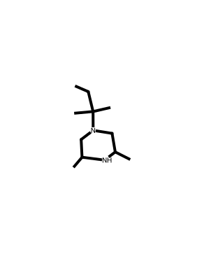 CCC(C)(C)N1CC(C)NC(C)C1